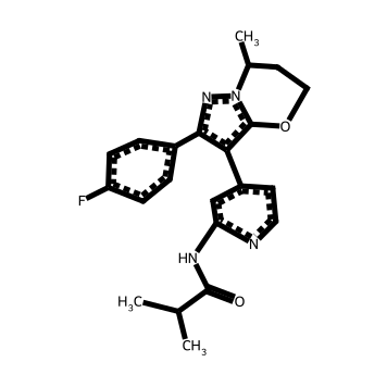 CC(C)C(=O)Nc1cc(-c2c(-c3ccc(F)cc3)nn3c2OCCC3C)ccn1